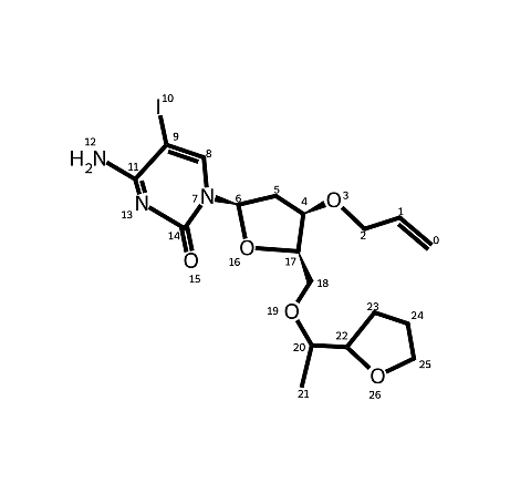 C=CCO[C@@H]1C[C@H](n2cc(I)c(N)nc2=O)O[C@@H]1COC(C)C1CCCO1